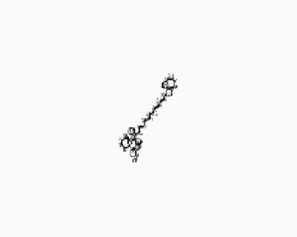 CCOC(=O)[C@@H]1CCCCN1C(=O)C(=O)CCCCCCCCCCCCOC1CCCCO1